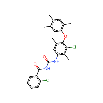 Cc1cc(C)c(Oc2c(C)cc(NC(=O)NC(=O)c3ccccc3Cl)c(C)c2Cl)cc1C